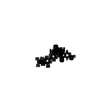 COc1ccc2c(c1)C(=O)N(C[C@@]1(c3ccc(-c4cc(C)c5nn(C(C)C)cc5c4)cc3)NC(=O)NC1=O)C2